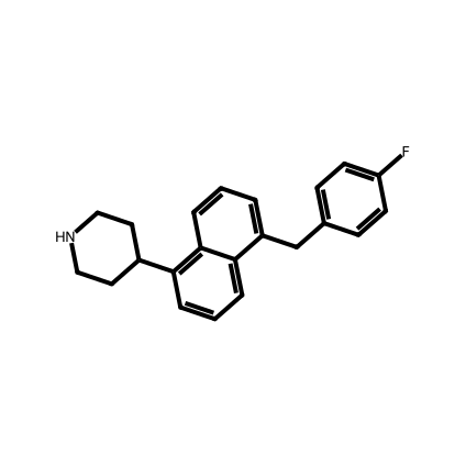 Fc1ccc(Cc2cccc3c(C4CCNCC4)cccc23)cc1